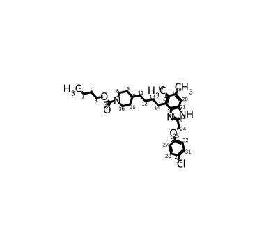 CCCCOC(=O)N1CCC(CCCCc2c(C)c(C)cc3[nH]c(COc4ccc(Cl)cc4)nc23)CC1